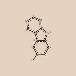 Cc1ccc2sc3ncccc3c2c1